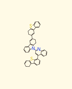 C1=Cc2sc3c(-c4cc(-n5c6c(c7ccccc75)C=C(C5=Cc7c(sc8ccccc78)CC5)CC6)nc5ccccc45)cccc3c2CC1